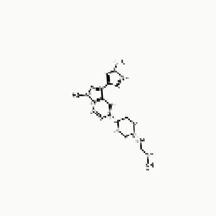 Cn1cc(-c2cn(S)c3ncc([C@H]4CC[C@@H](NCCO)CC4)cc23)cn1